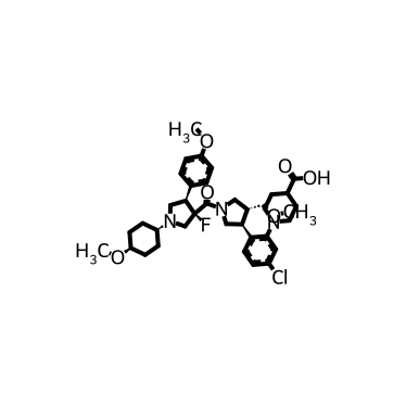 COC[C@H]1CN(C(=O)[C@]2(F)CN([C@H]3CC[C@H](OC)CC3)C[C@H]2c2ccc(OC)cc2)C[C@@H]1c1ccc(Cl)cc1N1CCC(C(=O)O)CC1